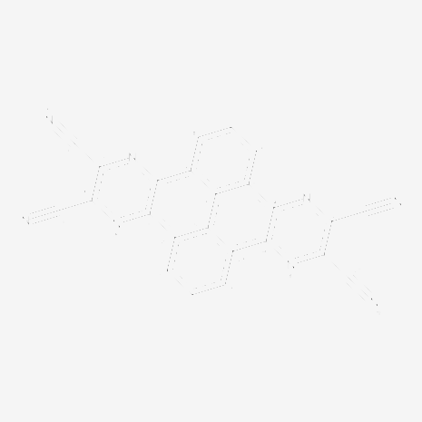 N#Cc1nc2c3cccc4c5nc(C#N)c(C#N)nc5c5cccc(c2nc1C#N)c5c34